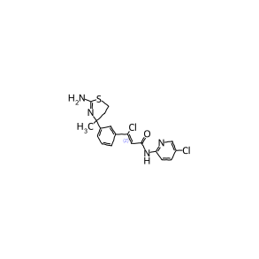 CC1(c2cccc(/C(Cl)=C/C(=O)Nc3ccc(Cl)cn3)c2)CCSC(N)=N1